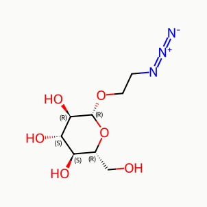 [N-]=[N+]=NCCO[C@@H]1O[C@H](CO)[C@@H](O)[C@H](O)[C@H]1O